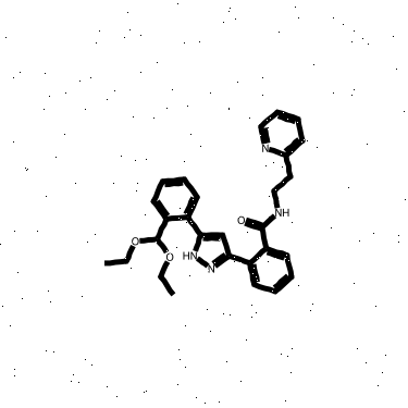 CCOC(OCC)c1ccccc1-c1cc(-c2ccccc2C(=O)NCCc2ccccn2)n[nH]1